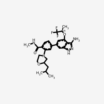 CNC(=O)c1ccc(-c2cc(O[C@H](C)C(F)(F)F)c3c(N)n[nH]c3c2)cc1N1CCOC(CC(C)C)C1